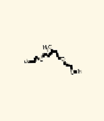 CCCOCCOCCC(C)CCOCCC(C)CC